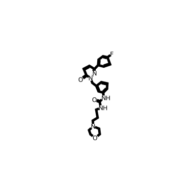 O=C(NCCCN1CCOCC1)Nc1cccc(Cn2nc(-c3ccc(F)cc3)ccc2=O)c1